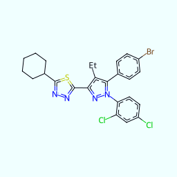 CCc1c(-c2nnc(C3CCCCC3)s2)nn(-c2ccc(Cl)cc2Cl)c1-c1ccc(Br)cc1